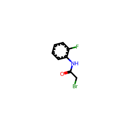 O=C(CBr)Nc1ccccc1F